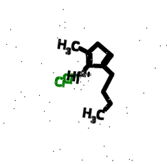 CCCCC1=CCC(C)=[C]1[Hf+2].[Cl-].[Cl-]